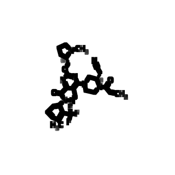 C=CC(=O)N1CCN(c2nc(OC[C@@H]3CCCN3C)nc3c(=O)n(-c4cccc(C)c4C(F)(F)F)ncc23)C[C@@H]1CC#N